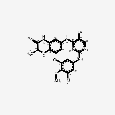 COc1c(Cl)cc(Nc2ncc(F)c(Nc3ccc4c(c3)NC(=O)[C@H](C)O4)n2)cc1Cl